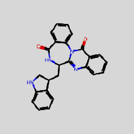 O=C1NC(CC2CNc3ccccc32)c2nc3ccccc3c(=O)n2-c2ccccc21